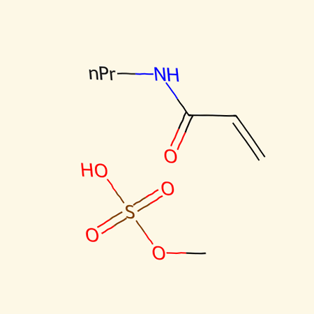 C=CC(=O)NCCC.COS(=O)(=O)O